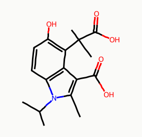 Cc1c(C(=O)O)c2c(C(C)(C)C(=O)O)c(O)ccc2n1C(C)C